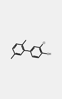 Cc1ccc(C)c(-c2ccc(O)c(Cl)c2)c1